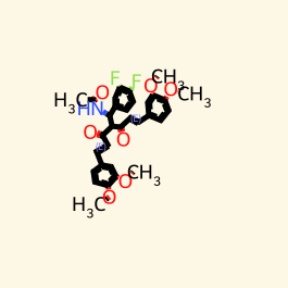 COc1ccc(/C=C/C(=O)C(C(=O)/C=C/c2ccc(OC)c(OC)c2)C(NC(C)=O)c2ccc(F)c(F)c2)cc1OC